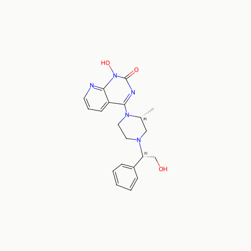 C[C@@H]1CN([C@H](CO)c2ccccc2)CCN1c1nc(=O)n(O)c2ncccc12